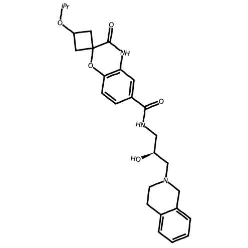 CC(C)OC1CC2(C1)Oc1ccc(C(=O)NC[C@H](O)CN3CCc4ccccc4C3)cc1NC2=O